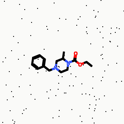 CCOC(=O)N1CCN(Cc2ccccc2)CC1C